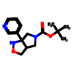 CC(C)(C)OC(=O)N1CC2CONC2(c2cccnc2)C1